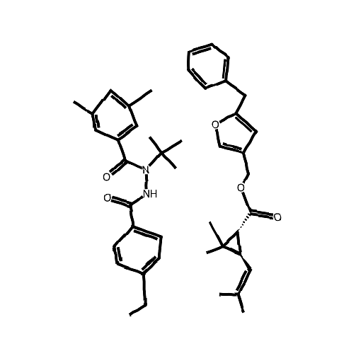 CC(C)=C[C@@H]1[C@@H](C(=O)OCc2coc(Cc3ccccc3)c2)C1(C)C.CCc1ccc(C(=O)NN(C(=O)c2cc(C)cc(C)c2)C(C)(C)C)cc1